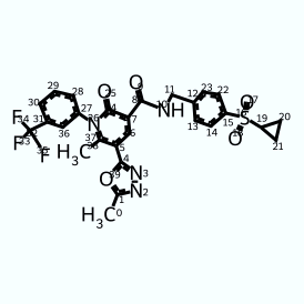 Cc1nnc(-c2cc(C(=O)NCc3ccc(S(=O)(=O)C4CC4)cc3)c(=O)n(-c3cccc(C(F)(F)F)c3)c2C)o1